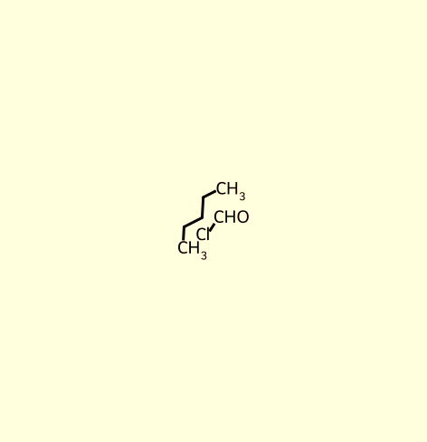 CCCCC.O=CCl